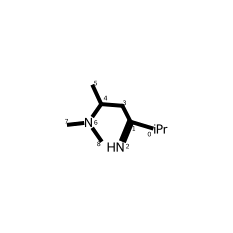 CC(C)C(=N)CC(C)N(C)C